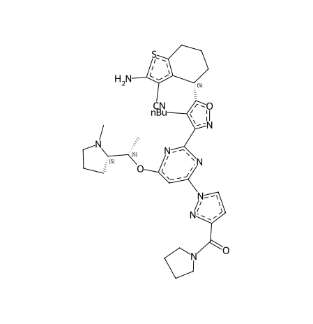 CCCCc1c(-c2nc(O[C@@H](C)[C@@H]3CCCN3C)cc(-n3ccc(C(=O)N4CCCC4)n3)n2)noc1[C@H]1CCCc2sc(N)c(C#N)c21